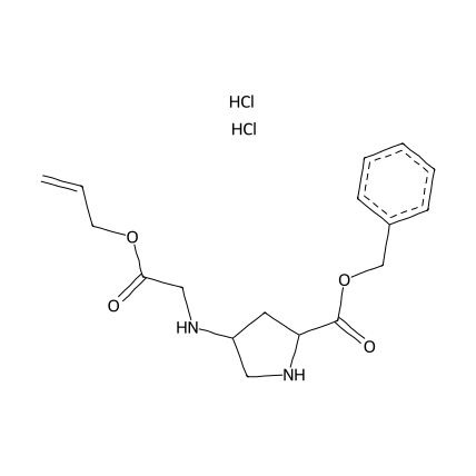 C=CCOC(=O)CNC1CNC(C(=O)OCc2ccccc2)C1.Cl.Cl